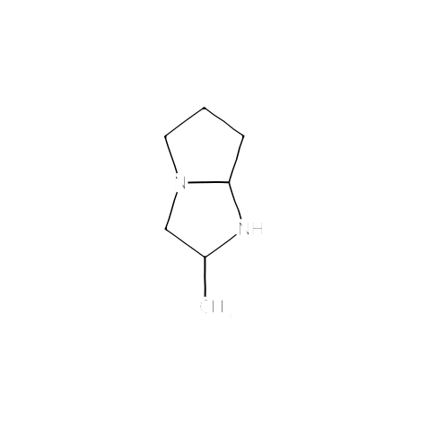 CC1CN2CCCC2N1